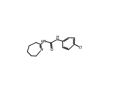 O=C(NC1=NCCCCC1)Nc1ccc(Cl)cc1